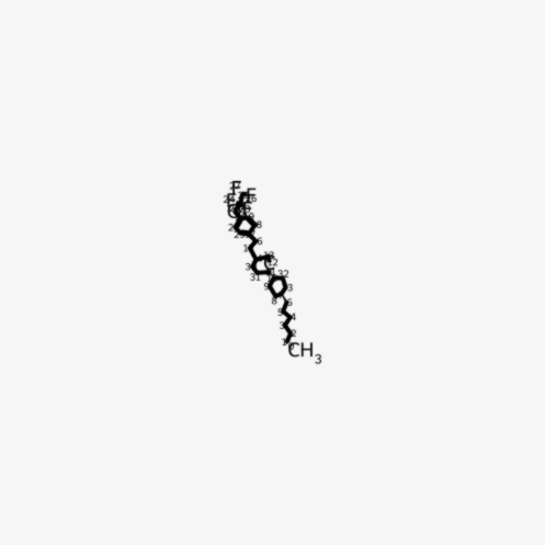 CCCCCCC[C@H]1CC[C@H](C2CCC(CCc3ccc(OC(F)(F)C(F)F)cc3)CC2)CC1